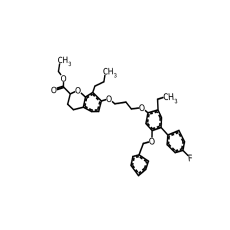 CCCc1c(OCCCOc2cc(OCc3ccccc3)c(-c3ccc(F)cc3)cc2CC)ccc2c1OC(C(=O)OCC)CC2